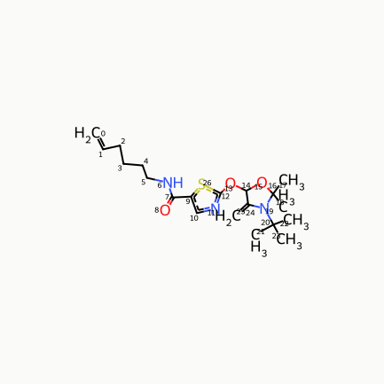 C=CCCCCNC(=O)c1cnc(OC2OC(C)(C)N(C(C)(C)C)C2=C)s1